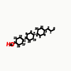 CCC[C@H]1CC[C@H](C2CCC([C@H]3CC[C@H](O)CC3)CC2)CC1